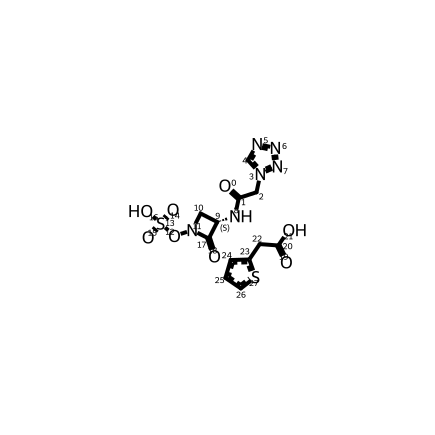 O=C(Cn1cnnn1)N[C@H]1CN(OS(=O)(=O)O)C1=O.O=C(O)Cc1cccs1